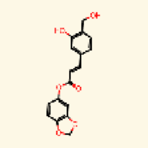 O=C(/C=C/c1ccc(CO)c(O)c1)Oc1ccc2c(c1)OCO2